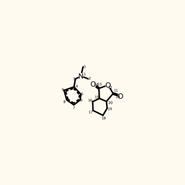 CN(C)Cc1ccccc1.O=C1OC(=O)C2CCCCC12